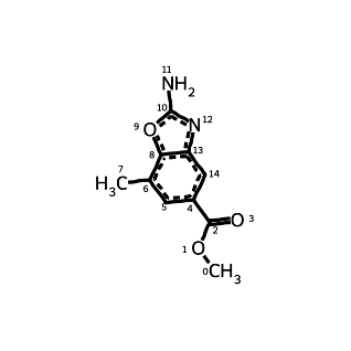 COC(=O)c1cc(C)c2oc(N)nc2c1